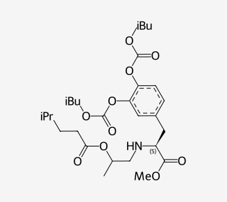 CCC(C)OC(=O)Oc1ccc(C[C@H](NCC(C)OC(=O)CCC(C)C)C(=O)OC)cc1OC(=O)OC(C)CC